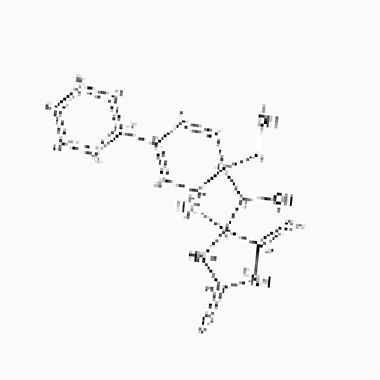 CC1(C(O)C2(CO)C=CC(c3ccccc3)=CC2)NC(=O)NC1=O